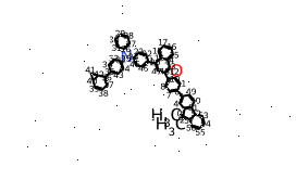 CC1(C)c2cc(-c3ccc4c(c3)oc3c5ccccc5c(-c5ccc(N(c6ccccc6)c6ccc(C7=CC=CC8CC78)cc6)cc5)cc43)ccc2C2C=CC=CC21